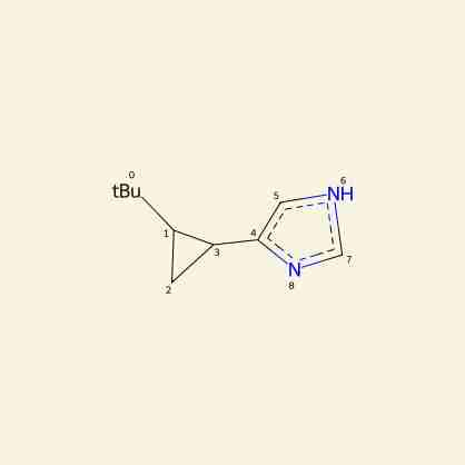 CC(C)(C)C1CC1c1c[nH]cn1